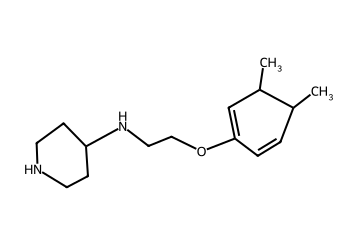 CC1C=CC(OCCNC2CCNCC2)=CC1C